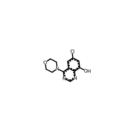 Oc1cc(Cl)cc2c(N3CCOCC3)ncnc12